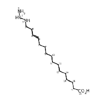 NNNCCC=CCCCCCCCCCCCC(=O)O